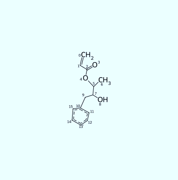 C=CC(=O)OC(C)C(O)Cc1cc[c]cc1